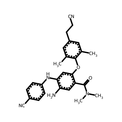 Cc1cc(CCC#N)cc(C)c1Oc1cc(Nc2ccc(C#N)cc2)c(N)cc1C(=O)N(C)C